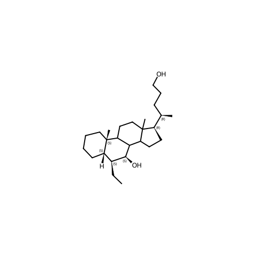 CC[C@@H]1[C@H](O)C2C3CC[C@H]([C@H](C)CCCO)C3(C)CCC2[C@@]2(C)CCCC[C@@H]12